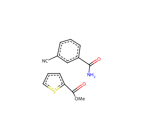 COC(=O)c1cccs1.N#Cc1cccc(C(N)=O)c1